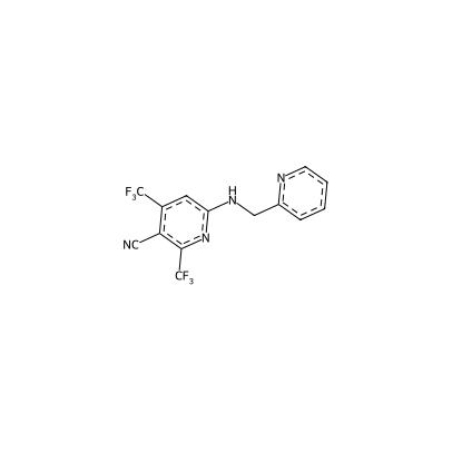 N#Cc1c(C(F)(F)F)cc(NCc2ccccn2)nc1C(F)(F)F